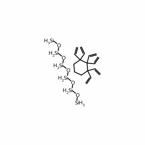 C=CC1(C=C)CCCC(C=C)(C=C)C1(C=C)C=C.[SiH3]O[SiH2]O[SiH2]O[SiH2]O[SiH2]O[SiH3]